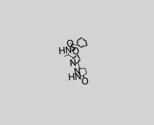 CC(NS(=O)(=O)c1ccccc1)c1ccc(C2=NNC(=O)CC2)n1C